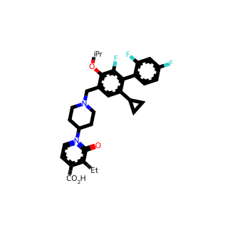 CCc1c(C(=O)O)ccn(C2CCN(Cc3cc(C4CC4)c(-c4ccc(F)cc4F)c(F)c3OC(C)C)CC2)c1=O